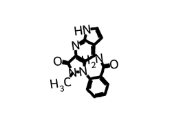 Cn1c(=O)c2nc3[nH]ccc3cc2n1-c1ccccc1C(N)=O